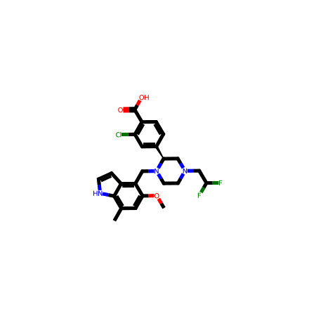 COc1cc(C)c2[nH]ccc2c1CN1CCN(CC(F)F)C[C@@H]1c1ccc(C(=O)O)c(Cl)c1